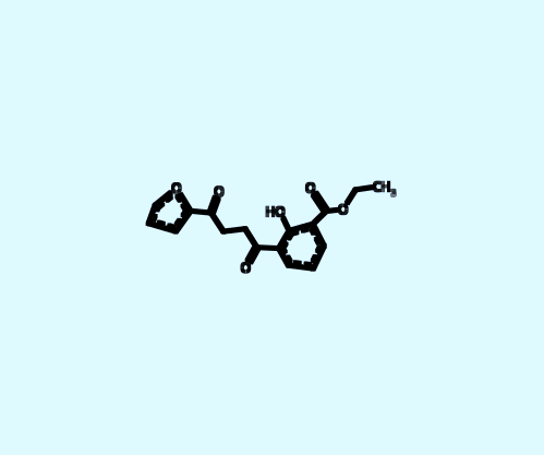 CCOC(=O)c1cccc(C(=O)CCC(=O)c2ccco2)c1O